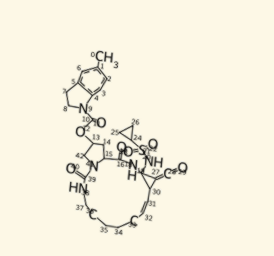 Cc1ccc2c(c1)CCN2C(=O)OC1CC2C(=O)NC3(NS(=O)(=O)C4CC4)C(=C=O)C3C=CCCCCCNC(=O)N2C1